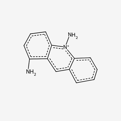 Nc1cccc2c1cc1ccccc1[n+]2N